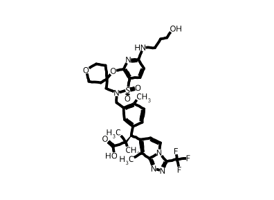 Cc1ccc([C@@H](c2ccn3c(C(F)(F)F)nnc3c2C)C(C)(C)C(=O)O)cc1CN1CC2(CCOCC2)Oc2nc(NCCCO)ccc2S1(=O)=O